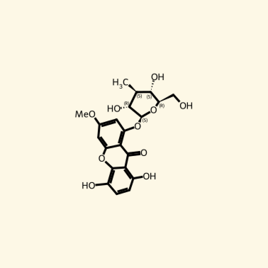 COc1cc(O[C@@H]2O[C@H](CO)[C@@H](O)[C@H](C)[C@H]2O)c2c(=O)c3c(O)ccc(O)c3oc2c1